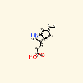 C=Cc1ccc2c(CCC(=O)O)c[nH]c2c1